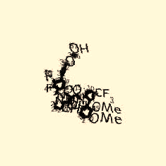 COc1cccc(-c2cc(C(F)(F)F)ccc2NC(=O)C2=C(O)[C@@]3(C)CCCN3N(Cc3ccc(C#CCOCCO)c(F)c3F)C2=O)c1OC